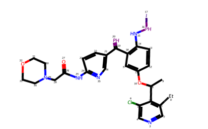 CCc1cncc(Cl)c1C(C)Oc1ccc(NPI)c(C(=P)c2ccc(NC(=O)CN3CCOCC3)nc2)c1